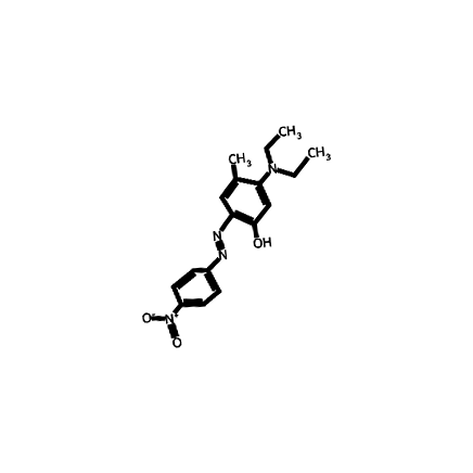 CCN(CC)c1cc(O)c(/N=N/c2ccc([N+](=O)[O-])cc2)cc1C